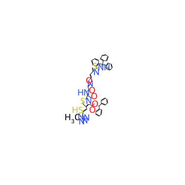 Cn1nnnc1C(S)=CC1=C(C(=O)OC(c2ccccc2)c2ccccc2)N2C(=O)C(NC(=O)C=NOC=Cc3csc(NC(c4ccccc4)(c4ccccc4)c4ccccc4)n3)C2SC1